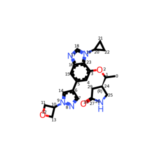 CC(Oc1cc(-c2cnn(C3COC3)c2)cc2ncn(C3CC3)c12)[C@H]1CNC(=O)C1